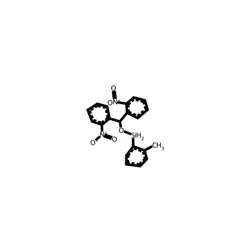 Cc1ccccc1[SiH2]OC(c1ccccc1[N+](=O)[O-])c1ccccc1[N+](=O)[O-]